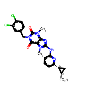 Cn1c(Nc2cccc([C@@H]3C[C@H]3C(=O)O)n2)nc2c1c(=O)n(Cc1ccc(Cl)c(Cl)c1)c(=O)n2C